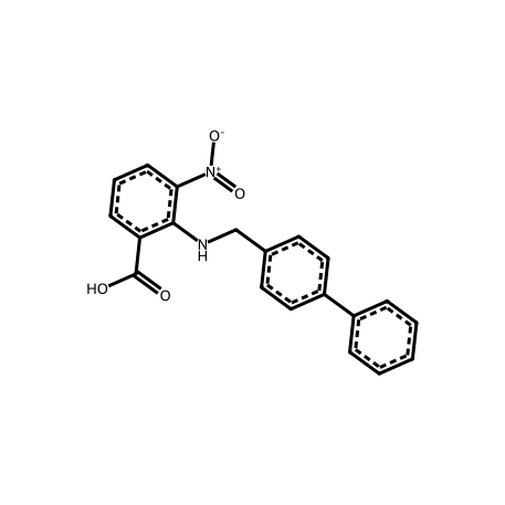 O=C(O)c1cccc([N+](=O)[O-])c1NCc1ccc(-c2ccccc2)cc1